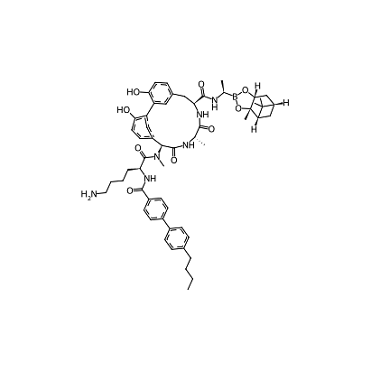 CCCCc1ccc(-c2ccc(C(=O)N[C@@H](CCCCN)C(=O)N(C)[C@@H]3C(=O)N[C@@H](C)C(=O)N[C@H](C(=O)N[C@@H](C)B4O[C@@H]5C[C@@H]6C[C@@H](C6(C)C)[C@]5(C)O4)Cc4ccc(O)c(c4)-c4cc3ccc4O)cc2)cc1